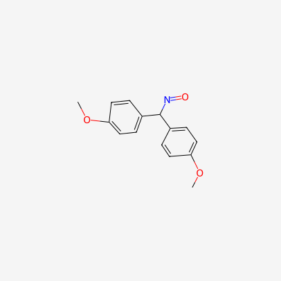 COc1ccc(C(N=O)c2ccc(OC)cc2)cc1